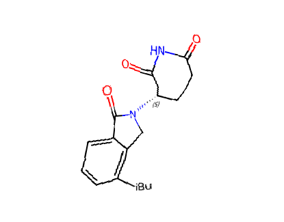 CCC(C)c1cccc2c1CN([C@H]1CCC(=O)NC1=O)C2=O